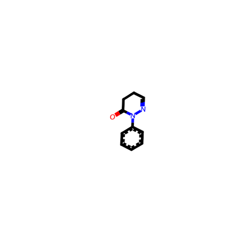 O=C1CCC=NN1c1ccccc1